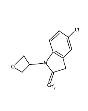 C=C1Cc2cc(Cl)ccc2N1C1COC1